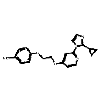 N#Cc1ccc(OCCOc2ccnc(-n3ccnc3C3CC3)c2)cc1